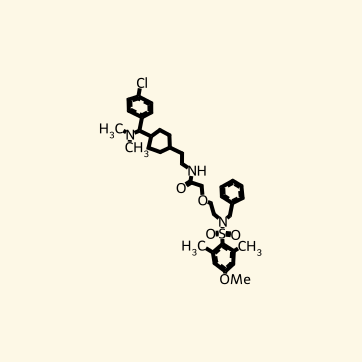 COc1cc(C)c(S(=O)(=O)N(CCOCC(=O)NCCC2CCC(C(c3ccc(Cl)cc3)N(C)C)CC2)Cc2ccccc2)c(C)c1